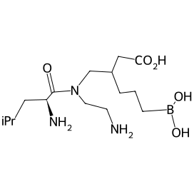 CC(C)C[C@H](N)C(=O)N(CCN)CC(CCCB(O)O)CC(=O)O